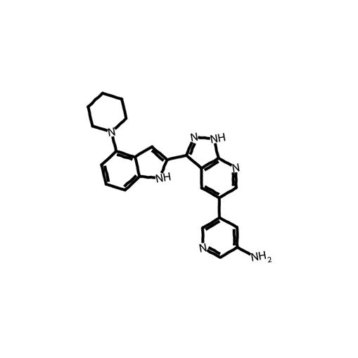 Nc1cncc(-c2cnc3[nH]nc(-c4cc5c(N6CCCCC6)cccc5[nH]4)c3c2)c1